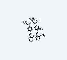 Br.Br.CCN(CC)c1ccc(/C=C/c2ccncc2C)cc1.CCN(CC)c1ccc(/C=C/c2ccncc2C)cc1